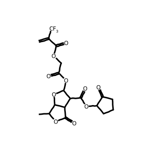 C=C(C(=O)OCC(=O)OC1OC2C(C)OC(=O)C2C1C(=O)OC1CCCC1=O)C(F)(F)F